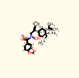 C=C[C@]1(C)CC[C@@H](C(=C)CN(O)C(=O)c2ccc3c(c2)OCO3)C[C@H]1C(=C)C